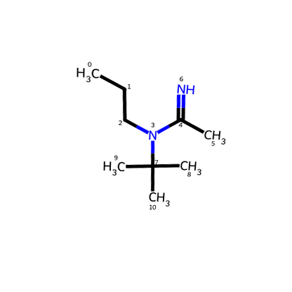 CCCN(C(C)=N)C(C)(C)C